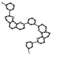 Ic1cccc(-c2ccc3ccc4ccc(-c5cccc(-c6ccc7ccc8ccc(-c9cccc(I)c9)nc8c7n6)c5)nc4c3n2)c1